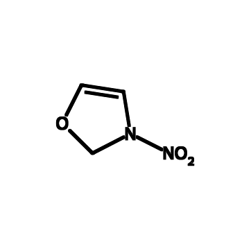 O=[N+]([O-])N1C=COC1